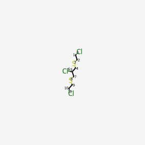 ClCCSCC(Cl)CSCCCl